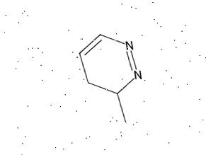 CC1CC=CN=N1